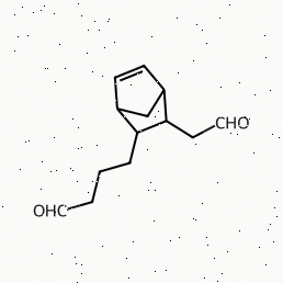 O=CCCCC1C2C=CC(C2)C1CC=O